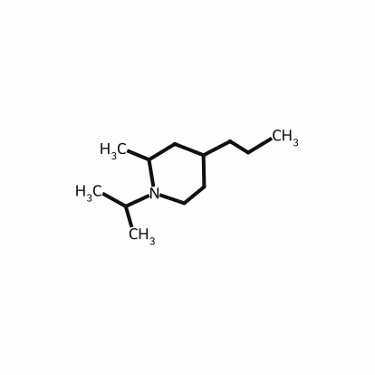 CCCC1CCN(C(C)C)C(C)C1